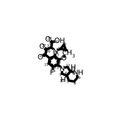 COc1c(N2C[C@@H]3CCCN[C@@H]3C2)c(F)cc2c1N(C1CC1)C(C(=O)O)C(=O)C2=O